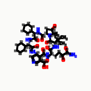 CC(C)(C)[C@H](NC(=O)[C@H](CCC(=O)C(N)=O)NC(=O)c1ccncc1C(=O)O)C(=O)N1CC(=O)C[C@H]1C(=O)N[C@H](C(=O)N[C@H](C(N)=O)C1CCCCC1)C1CCCCC1